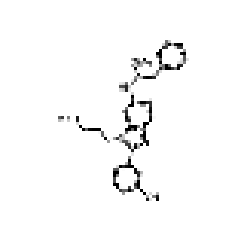 COCCCn1c(-c2cccc(C#N)c2)nc2cnc(NC(Cc3ccccc3)OC)nc21